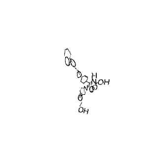 O=C(O)N[C@H](C(=O)N1CC[C@H](OCCO)C1)c1ccc(OCCOC2CCCCO2)cc1